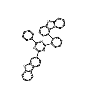 c1ccc(-c2nc(-c3ccc4c(c3)oc3ccccc34)nc(-c3ccccc3-c3cccc4oc5ccccc5c34)n2)cc1